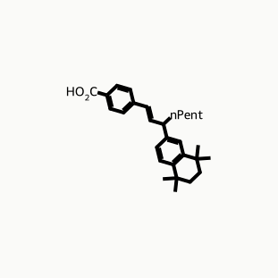 CCCCCC(C=Cc1ccc(C(=O)O)cc1)c1ccc2c(c1)C(C)(C)CCC2(C)C